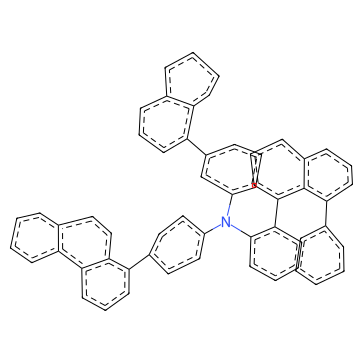 c1ccc(-c2cccc3cccc(-c4ccccc4N(c4ccc(-c5cccc6c5ccc5ccccc56)cc4)c4cccc(-c5cccc6ccccc56)c4)c23)cc1